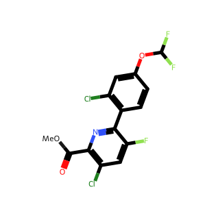 COC(=O)c1nc(-c2ccc(OC(F)F)cc2Cl)c(F)cc1Cl